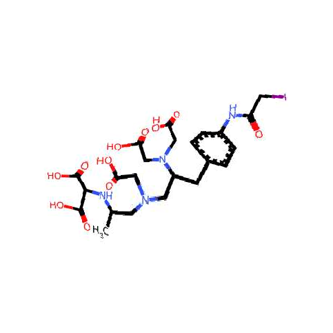 CC(CN(CC(=O)O)CC(Cc1ccc(NC(=O)CI)cc1)N(CC(=O)O)CC(=O)O)NC(C(=O)O)C(=O)O